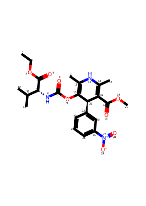 CCOC(=O)[C@H](NC(=O)OC1=C(C)NC(C)=C(C(=O)OC)[C@H]1c1cccc([N+](=O)[O-])c1)C(C)C